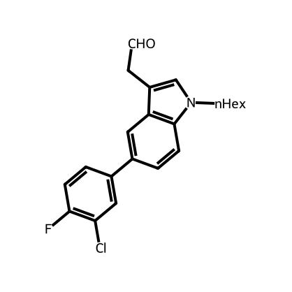 CCCCCCn1cc(CC=O)c2cc(-c3ccc(F)c(Cl)c3)ccc21